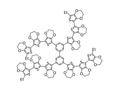 CCc1sc(-c2sc(-c3sc(-c4cc(-c5cc(-c6sc(-c7sc(-c8sc(CC)c9c8OCCO9)c8c7OCCO8)c7c6OCCO7)cc(-c6sc(-c7sc(-c8sc(CC)c9c8OCCO9)c8c7OCCO8)c7c6OCCO7)c5)cc(-c5sc(-c6sc(-c7sc(CC)c8c7OCCO8)c7c6OCCO7)c6c5OCCO6)c4)c4c3OCCO4)c3c2OCCO3)c2c1OCCO2